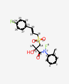 Cc1ccccc1N(F)C(=O)C(C)(O)CS(=O)(=O)CC=Cc1ccc(F)cc1